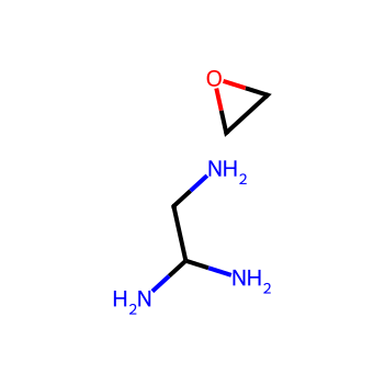 C1CO1.NCC(N)N